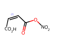 O=C(O)/C=C\C(=O)O[N+](=O)[O-]